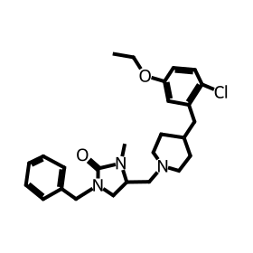 CCOc1ccc(Cl)c(CC2CCN(CC3CN(Cc4ccccc4)C(=O)N3C)CC2)c1